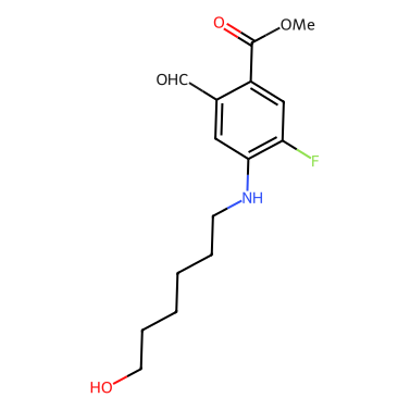 COC(=O)c1cc(F)c(NCCCCCCO)cc1C=O